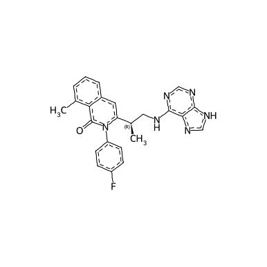 Cc1cccc2cc([C@H](C)CNc3ncnc4[nH]cnc34)n(-c3ccc(F)cc3)c(=O)c12